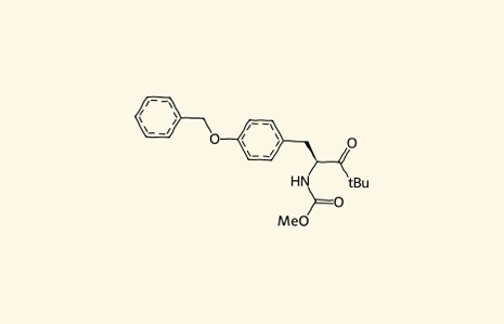 COC(=O)N[C@@H](Cc1ccc(OCc2ccccc2)cc1)C(=O)C(C)(C)C